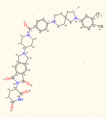 C[C@H]1CC2(CCN(c3ccc(C(=O)N4CCC(N5Cc6cc7c(cc6C5)C(=O)N(C5CCC(=O)NC5=O)C7=O)CC4)cc3)CC2)CN1c1ccc(C#N)c(C(F)(F)F)c1